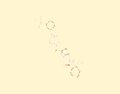 COc1ccccc1C(=O)Nc1nc(C(=O)N2CCN(c3cccc(C(F)(F)F)c3)CC2)cs1